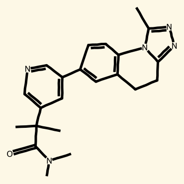 Cc1nnc2n1-c1ccc(-c3cncc(C(C)(C)C(=O)N(C)C)c3)cc1CC2